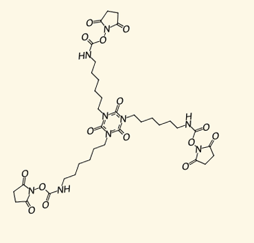 O=C(NCCCCCCn1c(=O)n(CCCCCCNC(=O)ON2C(=O)CCC2=O)c(=O)n(CCCCCCNC(=O)ON2C(=O)CCC2=O)c1=O)ON1C(=O)CCC1=O